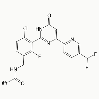 CC(C)C(=O)NCc1ccc(Cl)c(-c2nc(-c3ccc(C(F)F)cn3)cc(=O)[nH]2)c1F